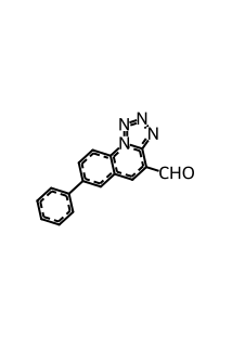 O=Cc1cc2cc(-c3ccccc3)ccc2n2nnnc12